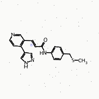 CSCc1ccc(NC(=O)/C=C/c2cnccc2-c2cn[nH]c2)cc1